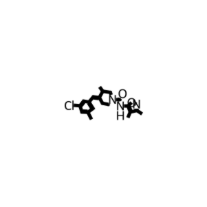 Cc1cc(Cl)cc(C=C2CCN(C(=O)Nc3onc(C)c3C)CC2C)c1